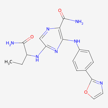 CCC(Nc1cnc(C(N)=O)c(Nc2ccc(-c3ncco3)cc2)n1)C(N)=O